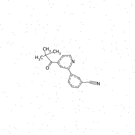 CC(C)(C)C(=O)c1ccnc(-c2cccc(C#N)c2)c1